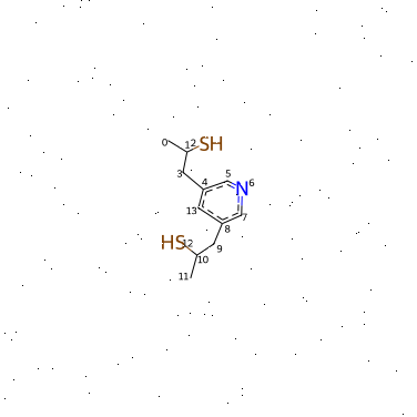 CC(S)Cc1cncc(CC(C)S)c1